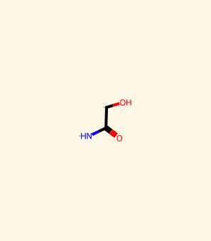 [NH]C(=O)[CH]O